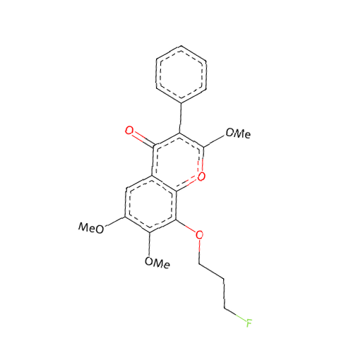 COc1cc2c(=O)c(-c3ccccc3)c(OC)oc2c(OCCCF)c1OC